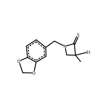 CCC1(C)CN(Cc2ccc3c(c2)OCO3)C1=S